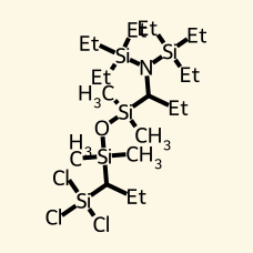 CCC(N([Si](CC)(CC)CC)[Si](CC)(CC)CC)[Si](C)(C)O[Si](C)(C)C(CC)[Si](Cl)(Cl)Cl